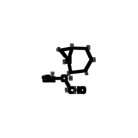 C1CCN2CC2C1.CC(C)(C)OC=O